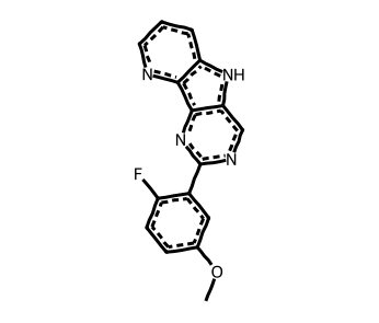 COc1ccc(F)c(-c2ncc3[nH]c4cccnc4c3n2)c1